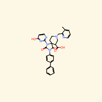 Cc1cccnc1CN1CCC2(C(=O)N(c3ccc(-c4ccccc4)cc3)C(=O)N2c2nccc(O)n2)C(C(=O)O)C1